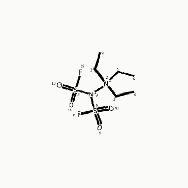 CC[N+](CC)(CC)[N+](S(=O)(=O)F)S(=O)(=O)F